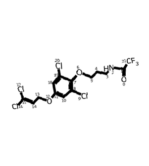 O=C(NCCCOc1c(Cl)cc(OCC=C(Cl)Cl)cc1Cl)C(F)(F)F